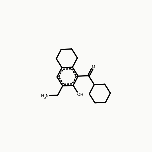 NCc1cc2c(c(C(=O)C3CCCCC3)c1O)CCCC2